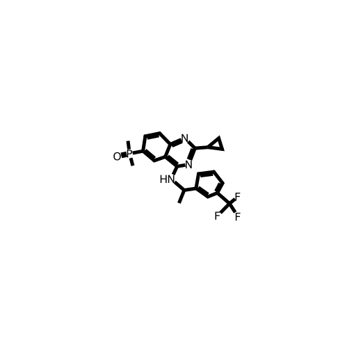 CC(Nc1nc(C2CC2)nc2ccc(P(C)(C)=O)cc12)c1cccc(C(F)(F)F)c1